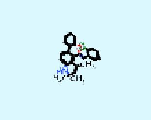 CC1=CC(C)(C)Nc2ccc3c(c21)/C(=C/c1ccccc1Cl)Oc1ccccc1-3